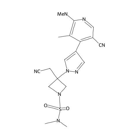 CNc1ncc(C#N)c(-c2cnn(C3(CC#N)CN(S(=O)(=O)N(C)C)C3)c2)c1C